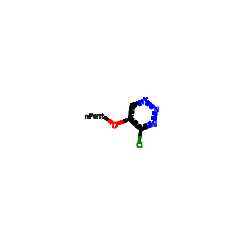 CCCCCOc1cnnnc1Cl